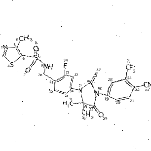 Cc1ncsc1S(=O)(=O)NCc1ccc(N2C(=S)N(c3ccc(C#N)c(C(F)(F)F)c3)C(=O)C2(C)C)cc1F